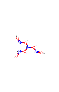 O=NON(ON=O)ON=O